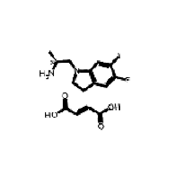 C[C@H](N)CN1CCc2cc(F)c(I)cc21.O=C(O)C=CC(=O)O